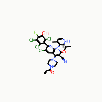 C=CC(=O)N1CCN(c2c(C#N)c(=O)n(C3=C(C)C=CN[C@@H]3C(C)C)c3nc(-c4c(Cl)c(O)c(F)c(Cl)c4Cl)c(Cl)cc23)CC1